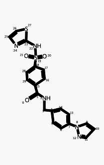 O=C(NCc1ccc(-n2cccn2)cc1)c1ccc(S(=O)(=O)Nc2nccs2)cc1